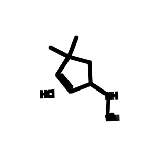 CC1(C)C=CC(NC(C)(C)C)C1.Cl